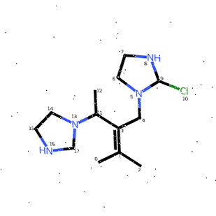 CC(C)=C(CN1CCNC1Cl)C(C)N1CCNC1